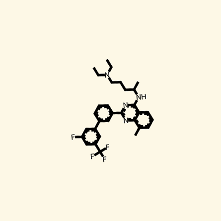 CCN(CC)CCCC(C)Nc1nc(-c2cccc(-c3cc(F)cc(C(F)(F)F)c3)c2)nc2c(C)cccc12